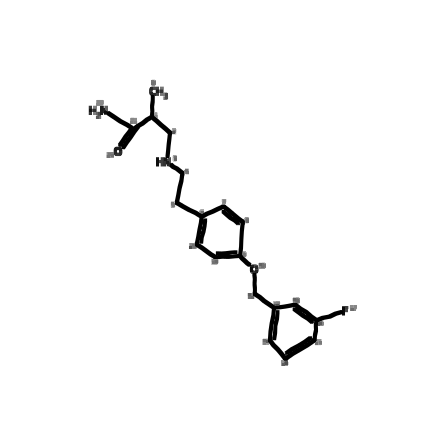 CC(CNCCc1ccc(OCc2cccc(F)c2)cc1)C(N)=O